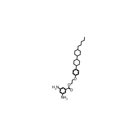 CCCCCC1CCC(C2CCC(c3ccc(OCCOC(=O)c4cc(N)cc(N)c4)cc3)CC2)CC1